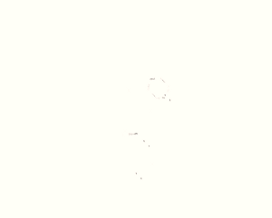 Cc1cnc(OCC(C)(C)C(=O)NC2CCN(C)CC2)c(Cl)c1